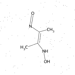 C/C(N=O)=C(/C)NO